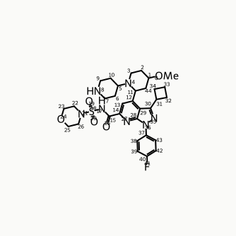 COC1CCN(C2CCNCC2)C(c2cc(C(=O)NS(=O)(=O)N3CCOCC3)nc3c2c(C2CCC2)nn3-c2ccc(F)cc2)C1